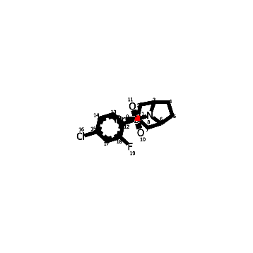 CC(C)N1CC2CCC(C1)N2S(=O)(=O)c1ccc(Cl)cc1F